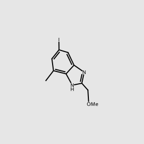 COCc1nc2cc(I)cc(C)c2[nH]1